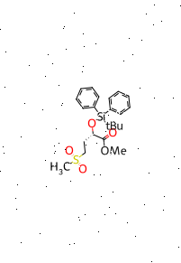 COC(=O)[C@H](CCS(C)(=O)=O)O[Si](c1ccccc1)(c1ccccc1)C(C)(C)C